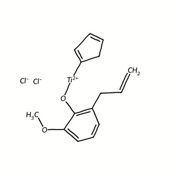 C=CCc1cccc(OC)c1[O][Ti+2][C]1=CC=CC1.[Cl-].[Cl-]